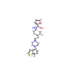 O=C(NC1CCC(CCN2CCN(c3cccc4sccc34)CC2)CC1)c1ccco1